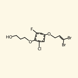 OCCCOc1c(F)cc(OCC=C(Br)Br)cc1Cl